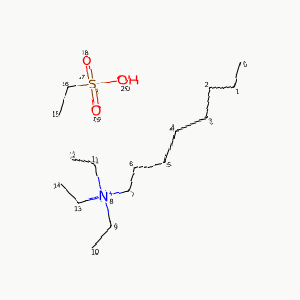 CCCCCCCC[N+](CC)(CC)CC.CCS(=O)(=O)O